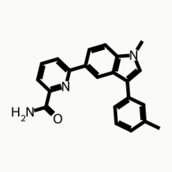 Cc1cccc(-c2cn(C)c3ccc(-c4cccc(C(N)=O)n4)cc23)c1